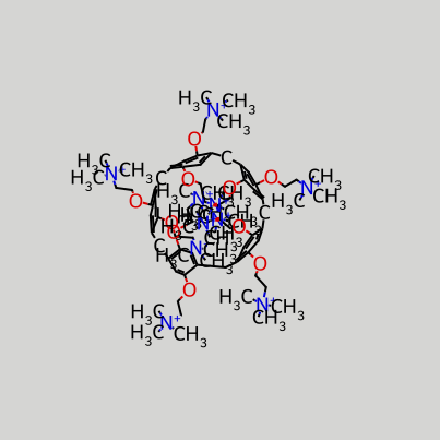 C[N+](C)(C)CCOc1cc2c(OCC[N+](C)(C)C)cc1Cc1cc(OCC[N+](C)(C)C)c(cc1OCC[N+](C)(C)C)Cc1cc(OCC[N+](C)(C)C)c(cc1OCC[N+](C)(C)C)Cc1cc(OCC[N+](C)(C)C)c(cc1OCC[N+](C)(C)C)Cc1cc(OCC[N+](C)(C)C)c(cc1OCC[N+](C)(C)C)C2